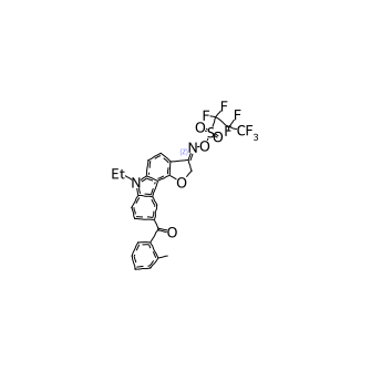 CCn1c2ccc(C(=O)c3ccccc3C)cc2c2c3c(ccc21)/C(=N/OS(=O)(=O)C(F)(F)C(F)(F)C(F)(F)F)CO3